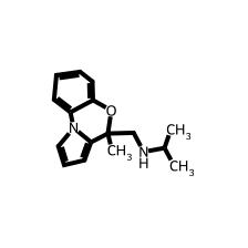 CC(C)NCC1(C)Oc2ccccc2-n2cccc21